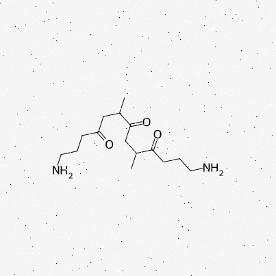 CC(CC(=O)CCCN)C(=O)CC(C)C(=O)CCCN